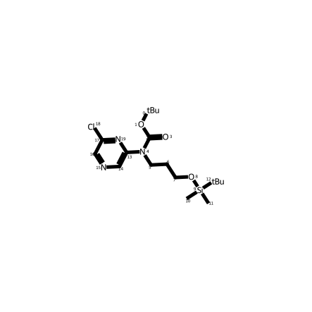 CC(C)(C)OC(=O)N(CCCO[Si](C)(C)C(C)(C)C)c1cncc(Cl)n1